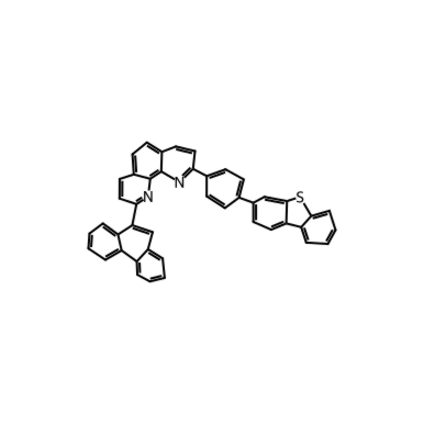 c1ccc2c(c1)cc(-c1ccc3ccc4ccc(-c5ccc(-c6ccc7c(c6)sc6ccccc67)cc5)nc4c3n1)c1ccccc12